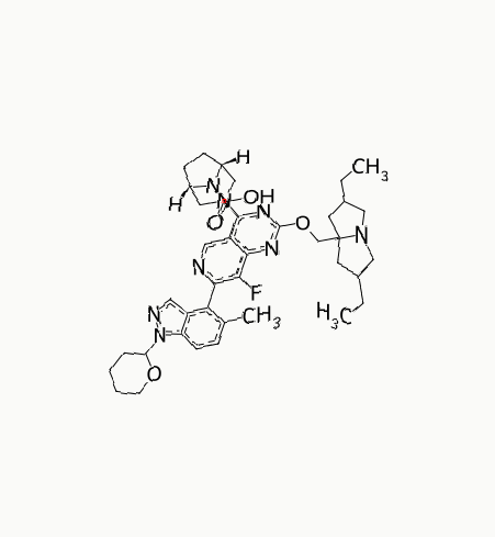 CCC1CN2CC(CC)CC2(COc2nc(N3C[C@H]4CC[C@@H](C3)N4C(=O)O)c3cnc(-c4c(C)ccc5c4cnn5C4CCCCO4)c(F)c3n2)C1